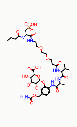 CCCC(=O)N[C@@H](CS(=O)(=O)O)C(=O)NCCOCCOCCC(=O)N[C@H](C(=O)N[C@@H](C)C(=O)Nc1ccc(COC(N)=O)cc1O[C@@H]1O[C@H](C(=O)O)[C@@H](O)[C@H](O)[C@H]1O)C(C)C